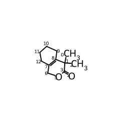 CC1(C)C(=O)OCC2=C1CCCC2